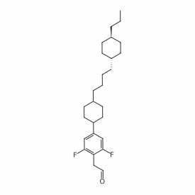 CCC[C@H]1CC[C@H](CCCCC2CCC(c3cc(F)c(CC=O)c(F)c3)CC2)CC1